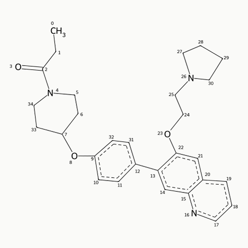 CCC(=O)N1CCC(Oc2ccc(-c3cc4ncccc4cc3OCCN3CCCC3)cc2)CC1